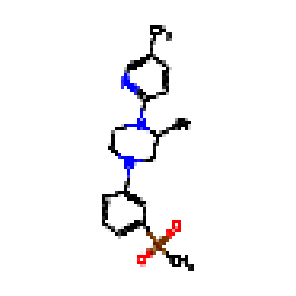 CC(C)C1CN(c2cccc(S(C)(=O)=O)c2)CCN1c1ccc(C(F)(F)F)cn1